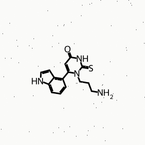 NCCCn1c(-c2cccc3[nH]ccc23)cc(=O)[nH]c1=S